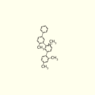 Cc1ccc(-c2cc[n+](C)c(-c3cc(-c4ccccc4)ccc3C)c2)c(C)c1